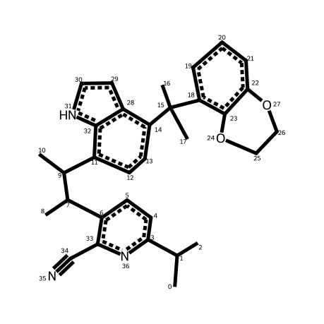 CC(C)c1ccc(C(C)C(C)c2ccc(C(C)(C)c3cccc4c3OCCO4)c3cc[nH]c23)c(C#N)n1